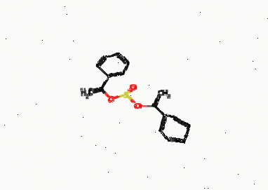 C=C(OS(=O)OC(=C)c1ccccc1)c1ccccc1